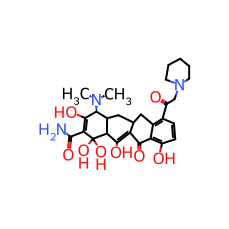 CN(C)[C@@H]1C(O)=C(C(N)=O)C(O)(O)C2C(O)=C3C(=O)c4c(O)ccc(C(=O)CN5CCCCC5)c4CC3CC21